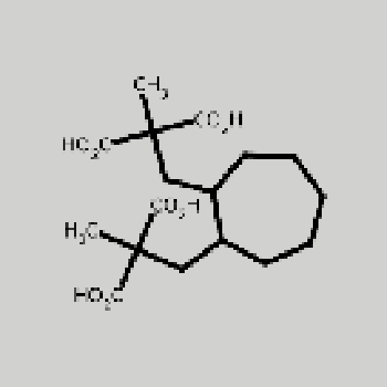 CC(CC1CCCCCC1CC(C)(C(=O)O)C(=O)O)(C(=O)O)C(=O)O